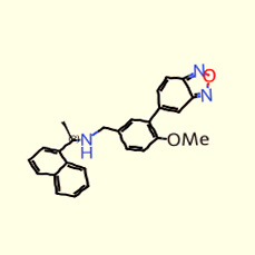 COc1ccc(CN[C@H](C)c2cccc3ccccc23)cc1-c1ccc2nonc2c1